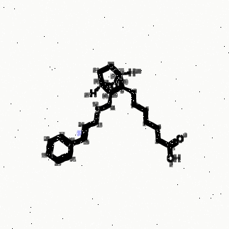 O=C(O)CCCCCC[C@H]1[C@@H](CSC/C=C/c2ccccc2)[C@H]2CC[C@@H]1O2